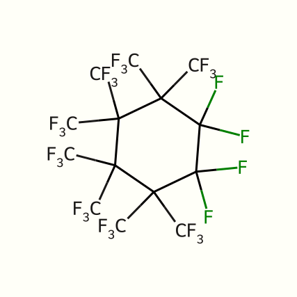 FC(F)(F)C1(C(F)(F)F)C(F)(F)C(F)(F)C(C(F)(F)F)(C(F)(F)F)C(C(F)(F)F)(C(F)(F)F)C1(C(F)(F)F)C(F)(F)F